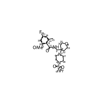 CCCS(=O)(=O)N1CCN(C2(CNC(=O)c3c(C)cc(F)cc3OC)CCOCC2)CC1